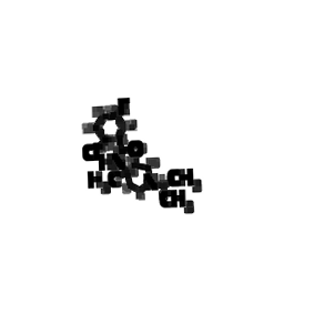 CC(C)N1CCC(C)(NC(=O)c2cc(F)ccc2Cl)CC1